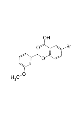 COc1cccc(COc2ccc(Br)cc2C(=O)O)c1